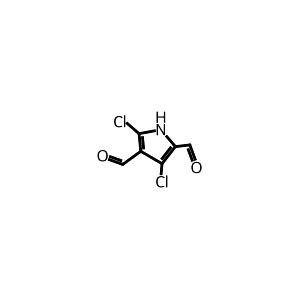 O=Cc1[nH]c(Cl)c(C=O)c1Cl